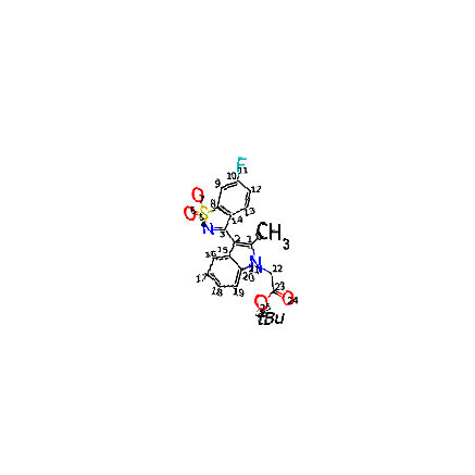 Cc1c(C2=NS(=O)(=O)c3cc(F)ccc32)c2ccccc2n1CC(=O)OC(C)(C)C